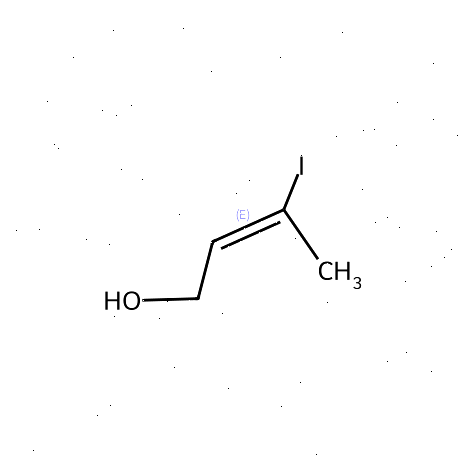 C/C(I)=C\CO